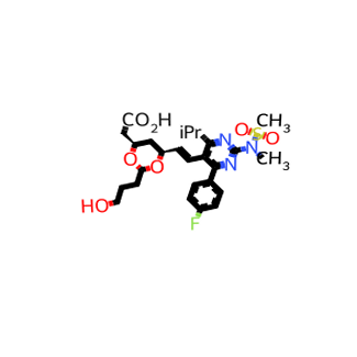 CC(C)c1nc(N(C)S(C)(=O)=O)nc(-c2ccc(F)cc2)c1/C=C/[C@@H]1C[C@H](CC(=O)O)OC(CCCO)O1